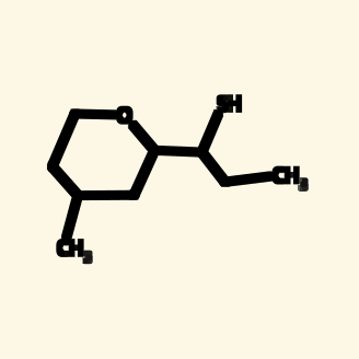 CCC(S)C1CC(C)CCO1